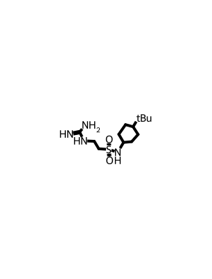 CC(C)(C)C1CCC(NS(=O)(=O)CCNC(=N)N)CC1